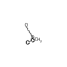 Cc1ccc(-c2ccccc2)cc1OCCCCCCCCl